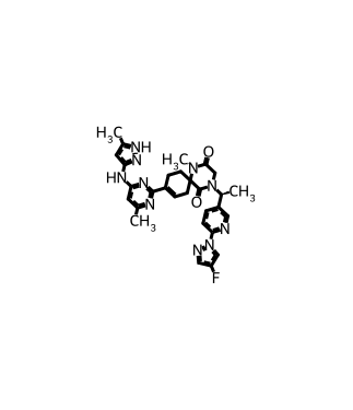 Cc1cc(Nc2cc(C)[nH]n2)nc(C2=CCC3(CC2)C(=O)N([C@@H](C)c2ccc(-n4cc(F)cn4)nc2)CC(=O)N3C)n1